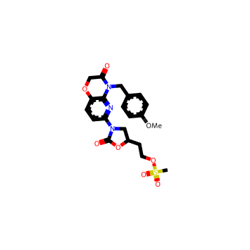 COc1ccc(CN2C(=O)COc3ccc(N4CC(CCOS(C)(=O)=O)OC4=O)nc32)cc1